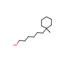 CC1(CCCCCCO)CCCCC1